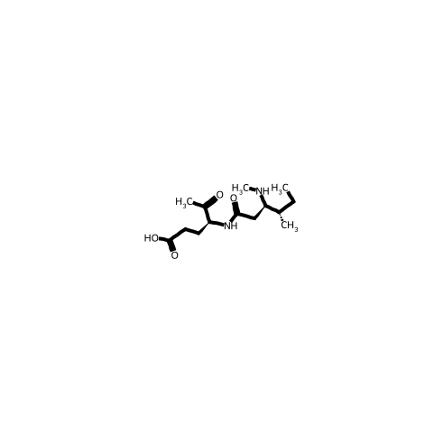 CC[C@H](C)[C@@H](CC(=O)N[C@@H](CCC(=O)O)C(C)=O)NC